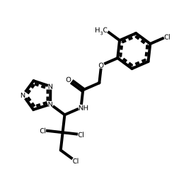 Cc1cc(Cl)ccc1OCC(=O)NC(n1cncn1)C(Cl)(Cl)CCl